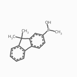 CB(O)c1ccc2c(c1)C(C)(C)c1ccccc1-2